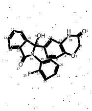 O=C1COc2ccc(C3(O)c4ccccc4C(=O)N3c3ccccc3F)cc2N1